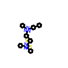 c1ccc(-c2ccc(-c3nc(-c4ccccc4)nc(-c4ccc5sc6c(-c7nc(-c8ccccc8)nc8c7sc7ccccc78)cccc6c5c4)n3)cc2)cc1